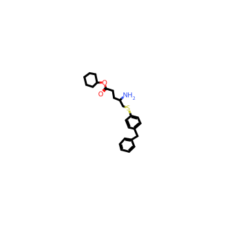 NC(CCC(=O)OC1CCCCC1)CSc1ccc(Cc2ccccc2)cc1